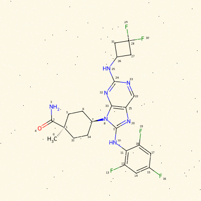 C[C@]1(C(N)=O)CC[C@@H](n2c(Nc3c(F)cc(F)cc3F)nc3cnc(NC4CC(F)(F)C4)nc32)CC1